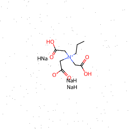 CCC[N+](CC(=O)[O-])(CC(=O)O)CC(=O)O.[NaH].[NaH].[NaH]